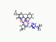 CCN(CC)c1cnn(CC(=O)N2C[C@H](F)C[C@H]2C(=O)N[C@@H](c2ccccc2)c2ccc(C3CC3)c(F)n2)n1